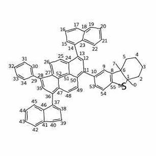 CC12CCCCC1(C)c1cc(-c3cc(-c4cccc5ccccc45)c4ccc5c(-c6ccccc6)cc(-c6cccc7ccccc67)c6ccc3c4c56)ccc1S2